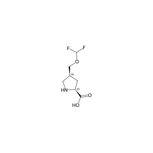 O=C(O)[C@@H]1C[C@H](COC(F)F)CN1